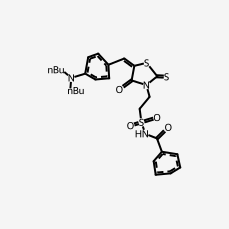 CCCCN(CCCC)c1ccc(C=C2SC(=S)N(CCS(=O)(=O)NC(=O)c3ccccc3)C2=O)cc1